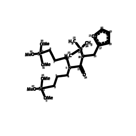 CO[Si](CCCN(CCC[Si](OC)(OC)OC)C(=O)N(Cc1ccco1)[Si](C)(C)C)(OC)OC